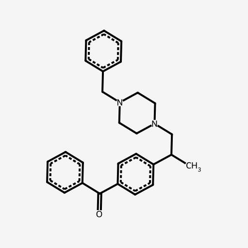 CC(CN1CCN(Cc2ccccc2)CC1)c1ccc(C(=O)c2ccccc2)cc1